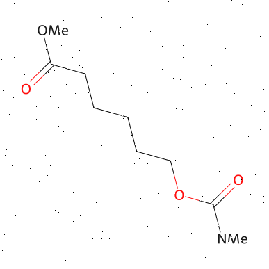 CNC(=O)OCCCCCC(=O)OC